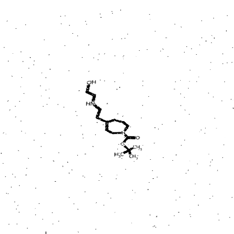 CC(C)(C)OC(=O)N1CCCC(CCNCCO)CC1